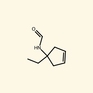 CCC1(NC=O)CC=CC1